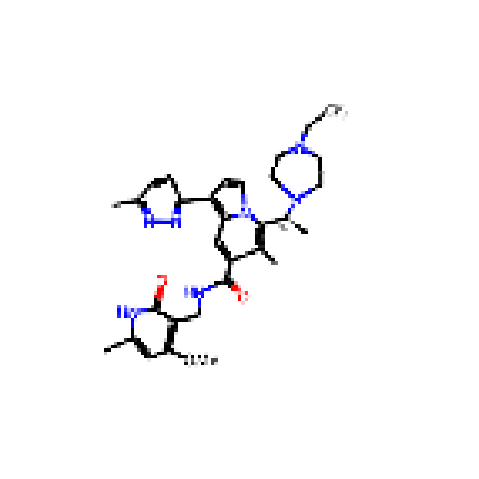 COc1cc(C)[nH]c(=O)c1CNC(=O)c1cc2c(-c3ccc(C)nn3)ccn2c([C@H](C)N2CCN(CC(F)(F)F)CC2)c1C